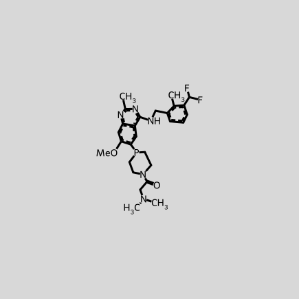 COc1cc2nc(C)nc(NCc3cccc(C(F)F)c3C)c2cc1P1CCN(C(=O)CN(C)C)CC1